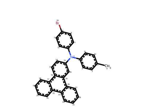 Cc1ccc(N(c2ccc(Br)cc2)c2ccc3c4ccccc4c4ccccc4c3c2)cc1